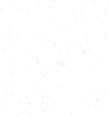 NC(=O)c1cc(Cl)cc2[nH]c(-c3ccc(CNC4CCCc5ccccc54)cc3)nc12